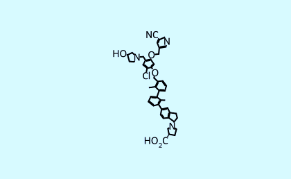 Cc1c(COc2cc(OCc3cncc(C#N)c3)c(CN3CC[C@@H](O)C3)cc2Cl)cccc1-c1cccc(-c2ccc3c(c2)CCC3N2CC[C@@H](C(=O)O)C2)c1C